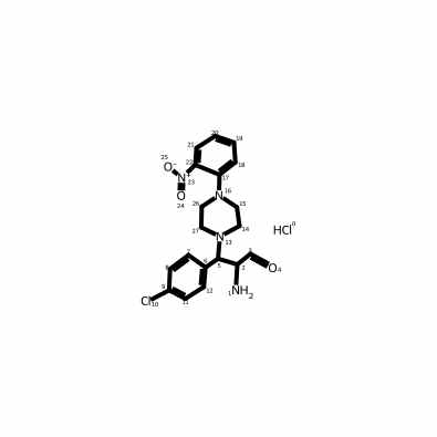 Cl.NC(C=O)C(c1ccc(Cl)cc1)N1CCN(c2ccccc2[N+](=O)[O-])CC1